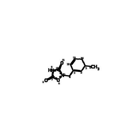 CC1C=C(Cn2oc(=O)[nH]c2=O)C=CC1